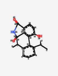 CC(C)c1cccc(C(C)C)c1-c1c(O)ccc2c1C(=O)NC2=O